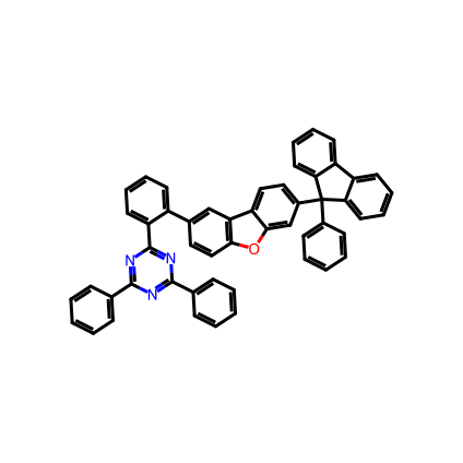 c1ccc(-c2nc(-c3ccccc3)nc(-c3ccccc3-c3ccc4oc5cc(C6(c7ccccc7)c7ccccc7-c7ccccc76)ccc5c4c3)n2)cc1